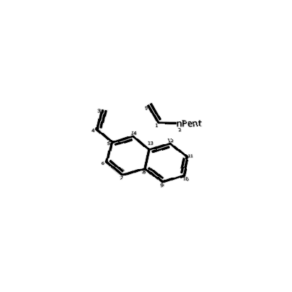 C=CCCCCC.C=Cc1ccc2ccccc2c1